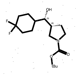 CC(C)(C)OC(=O)N1CC[C@@H]([C@@H](O)C2CCC(F)(F)CC2)C1